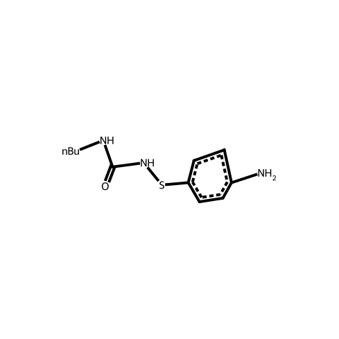 CCCCNC(=O)NSc1ccc(N)cc1